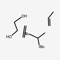 C=C.C=CC.CCCCC(C)C(C)(C)C.OCCO